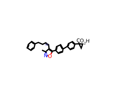 Cc1noc(-c2ccc(-c3ccc(C4(C(=O)O)CC4)cc3)cc2)c1/C=C\CCc1ccccc1